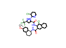 COc1ccc2c(c1)CCCC2NC(=O)c1cc2ccccc2c(Cl)c1NC(=O)c1cc(C(F)(F)F)nn1-c1ncccc1Cl